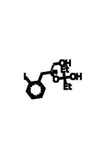 CCC(O)(CC)O[C@@H](CO)Cc1ccccc1I